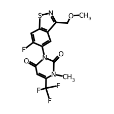 COCc1nsc2cc(F)c(-n3c(=O)cc(C(F)(F)F)n(C)c3=O)cc12